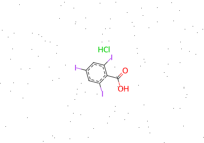 Cl.O=C(O)c1c(I)cc(I)cc1I